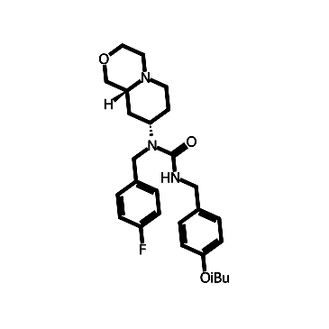 CC(C)COc1ccc(CNC(=O)N(Cc2ccc(F)cc2)[C@H]2CCN3CCOC[C@H]3C2)cc1